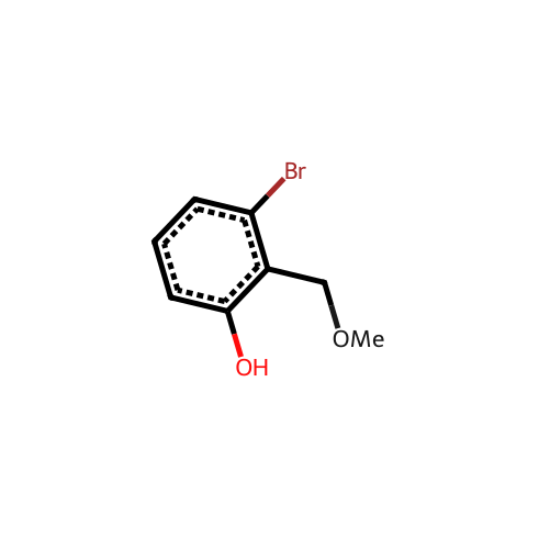 COCc1c(O)cccc1Br